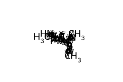 Cc1ccc(N2CCC[C@H](N(CC3=CN(C4CC4)c4cc(N5CCN[C@H](C)C5)c(F)cc4C3)Cc3ccnc(C)c3)C2)cn1